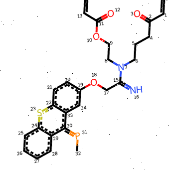 C=CC(=O)CCCN(CCOC(=O)C=C)C(=N)COc1ccc2sc3ccccc3/c(=P\C)c2c1